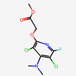 COC(=O)COc1nc(F)c(Cl)c(N(C)C)c1Cl